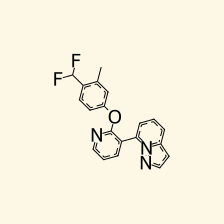 Cc1cc(Oc2ncccc2-c2cccc3ccnn23)ccc1C(F)F